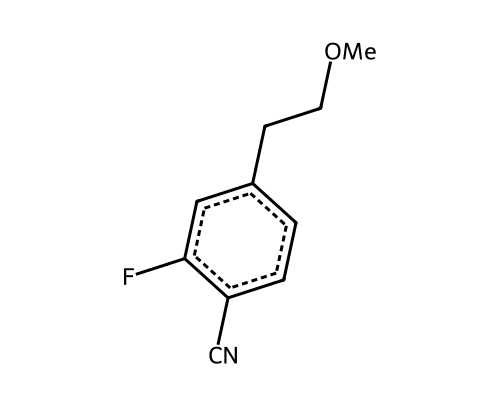 COCCc1ccc(C#N)c(F)c1